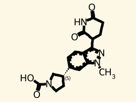 Cn1nc(C2CCC(=O)NC2=O)c2ccc([C@@H]3CCN(C(=O)O)C3)cc21